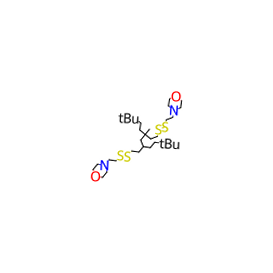 CC(C)(C)CCC(CCSSCCN1CCOCC1)CC(C)(CCSSCCN1CCOCC1)CCC(C)(C)C